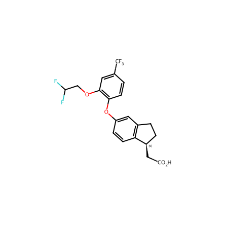 O=C(O)C[C@@H]1CCc2cc(Oc3ccc(C(F)(F)F)cc3OCC(F)F)ccc21